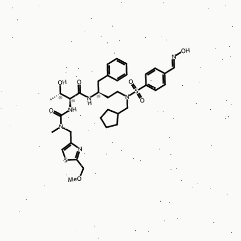 COCc1nc(CN(C)C(=O)N[C@H](C(=O)N[C@H](CCN(CC2CCCC2)S(=O)(=O)c2ccc(C=NO)cc2)Cc2ccccc2)[C@H](C)O)cs1